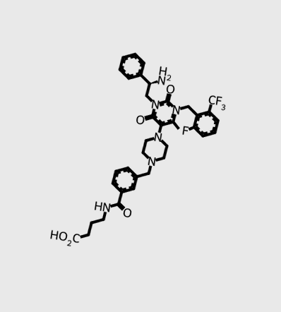 Cc1c(N2CCN(Cc3cccc(C(=O)NCCCC(=O)O)c3)CC2)c(=O)n(C[C@H](N)c2ccccc2)c(=O)n1Cc1c(F)cccc1C(F)(F)F